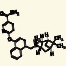 C[C@@H]1[C@@H](NCc2ccc(Oc3ccc(C(N)=O)cn3)c3ccccc23)C[C@H]2C[C@@H]1C2(C)C